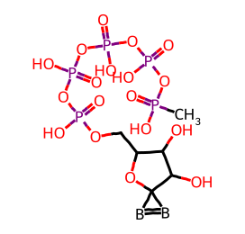 CP(=O)(O)OP(=O)(O)OP(=O)(O)OP(=O)(O)OP(=O)(O)OCC1OC2(B=B2)C(O)C1O